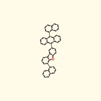 c1ccc2c(-c3c4ccccc4c(-c4ccc5oc6c(-c7cccc8ccccc78)cccc6c5c4)c4ccccc34)cccc2c1